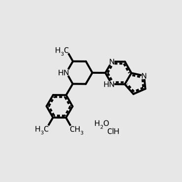 Cc1ccc(C2CC(c3ncc4nccc-4[nH]3)CC(C)N2)cc1C.Cl.O